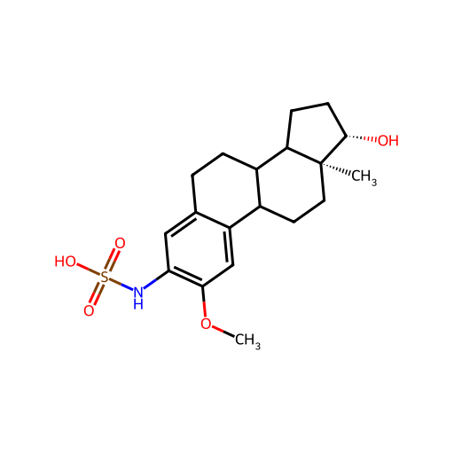 COc1cc2c(cc1NS(=O)(=O)O)CCC1C2CC[C@@]2(C)C1CC[C@@H]2O